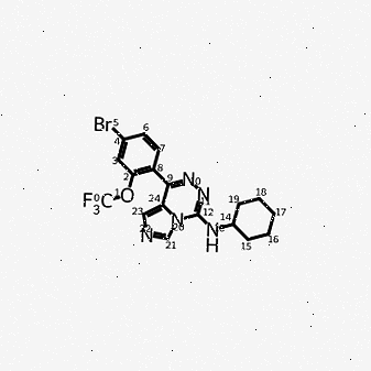 FC(F)(F)Oc1cc(Br)ccc1-c1nnc(NC2CCCCC2)n2cncc12